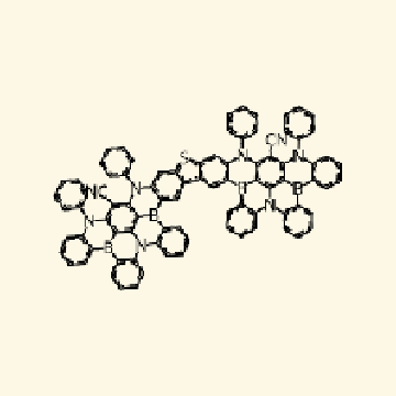 N#Cc1c2c3c4c5c1N(c1ccccc1)c1cc6sc7cc8c(cc7c6cc1B5c1ccccc1N4c1ccccc1B3c1ccccc1N2c1ccccc1)B1c2ccccc2N2c3ccccc3B3c4ccccc4N(c4ccccc4)c4c(C#N)c(c1c2c43)N8c1ccccc1